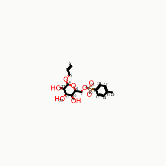 C=CCOC1OC(COS(=O)(=O)c2ccc(C)cc2)C(O)C(O)C1O